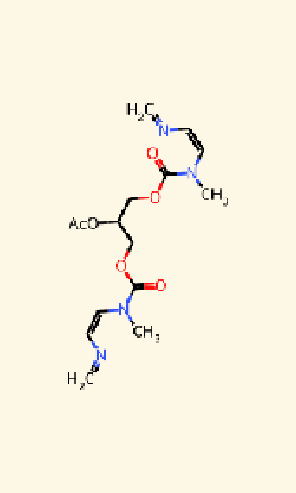 C=N/C=C\N(C)C(=O)OCC(COC(=O)N(C)/C=C\N=C)OC(C)=O